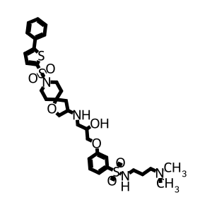 CN(C)CCCNS(=O)(=O)c1cccc(OCC(O)CNC2COC3(CCN(S(=O)(=O)c4ccc(-c5ccccc5)s4)CC3)C2)c1